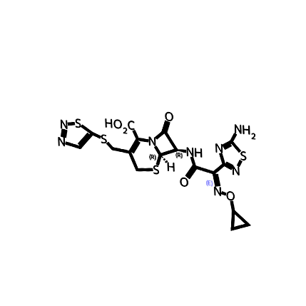 Nc1nc(/C(=N\OC2CC2)C(=O)N[C@@H]2C(=O)N3C(C(=O)O)=C(CSc4cnns4)CS[C@H]23)ns1